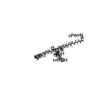 CCCCC/C=C\C/C=C\CCCCCCCCCCCC(=O)O[C@H](COC(=O)CCCCCCC/C=C\C/C=C\CCCCC)COP(=O)(O)OC[C@@H](O)CO